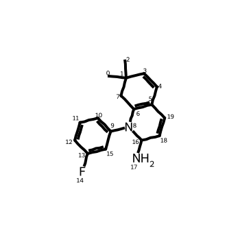 CC1(C)C=CC2=C(C1)N(c1cccc(F)c1)C(N)C=C2